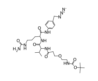 CC(C)C(NC(=O)CCOCCNC(=O)OC(C)(C)C)C(=O)NC(CCCNC(N)=O)C(=O)Nc1ccc(CN=[N+]=[N-])cc1